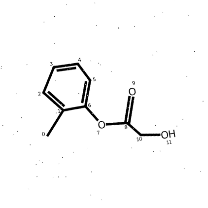 Cc1ccccc1OC(=O)CO